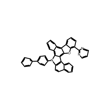 c1ccc(-c2ccc(-n3c4ccc5ccccc5c4c4c5oc6c(-c7ncccn7)cccc6c5c5ccccc5c43)cc2)cc1